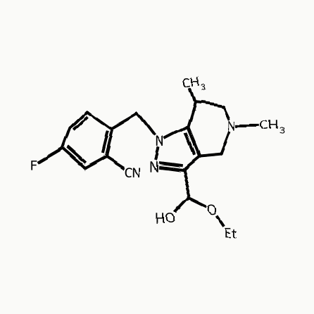 CCOC(O)c1nn(Cc2ccc(F)cc2C#N)c2c1CN(C)CC2C